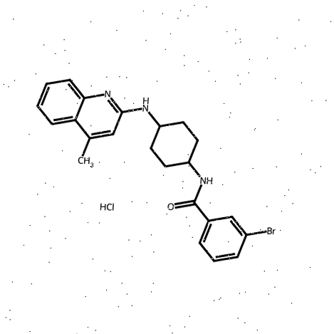 Cc1cc(NC2CCC(NC(=O)c3cccc(Br)c3)CC2)nc2ccccc12.Cl